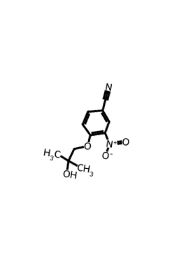 CC(C)(O)COc1ccc(C#N)cc1[N+](=O)[O-]